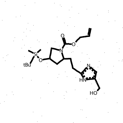 C=CCOC(=O)N1CC(O[Si](C)(C)C(C)(C)C)CC1CCc1ncc(CO)[nH]1